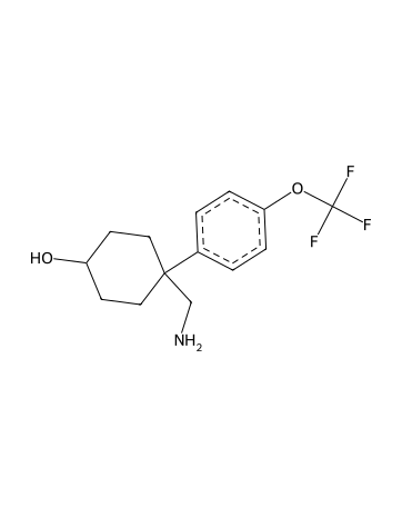 NCC1(c2ccc(OC(F)(F)F)cc2)CCC(O)CC1